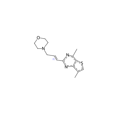 Cc1csc2c(C)nc(/C=C/CN3CCOCC3)nc12